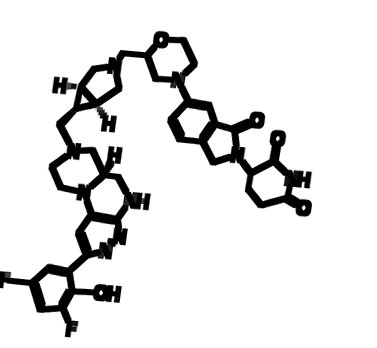 O=C1CCC(N2Cc3ccc(N4CCOC(CN5C[C@@H]6[C@H](C5)[C@@H]6CN5CCN6c7cc(-c8cc(F)cc(F)c8O)nnc7NC[C@H]6C5)C4)cc3C2=O)C(=O)N1